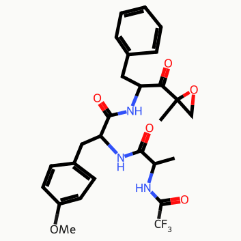 COc1ccc(CC(NC(=O)C(C)NC(=O)C(F)(F)F)C(=O)NC(Cc2ccccc2)C(=O)C2(C)CO2)cc1